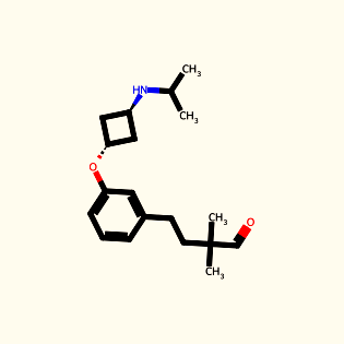 CC(C)N[C@H]1C[C@H](Oc2cccc(CCC(C)(C)C=O)c2)C1